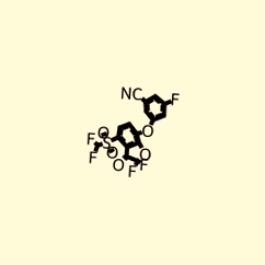 N#Cc1cc(F)cc(Oc2ccc(S(=O)(=O)C(F)F)c3c2OC(F)(F)C3=O)c1